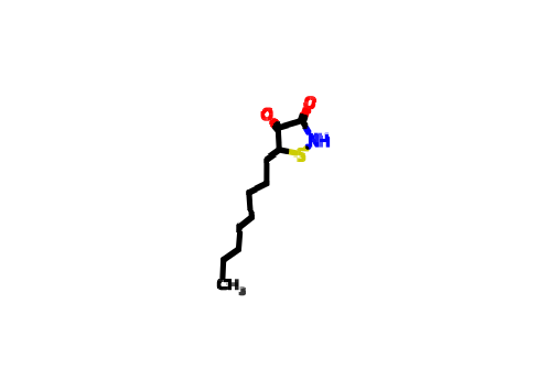 CCCCCCCCC1SNC(=O)C1=O